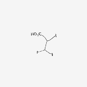 O=C(O)C(I)C(I)I